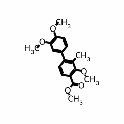 COC(=O)c1ccc(-c2ccc(OC)c(OC)c2)c(C)c1OC